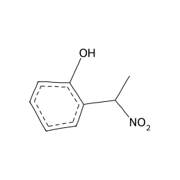 CC(c1ccccc1O)[N+](=O)[O-]